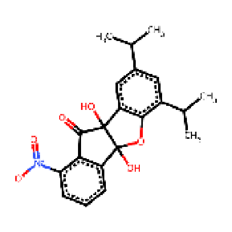 CC(C)c1cc(C(C)C)c2c(c1)C1(O)C(=O)c3c([N+](=O)[O-])cccc3C1(O)O2